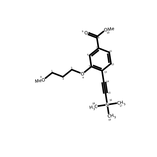 COCCCOc1cc(C(=O)OC)ccc1C#C[Si](C)(C)C